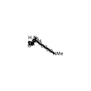 CNCCCOCCOCCOCCOCCOCCCNc1cc(-n2nc(C)c3c2CC(C)(C)CC3=O)ccc1C(N)=O